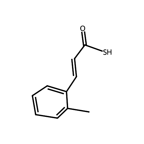 Cc1ccccc1/C=C/C(=O)S